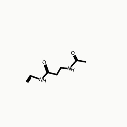 C=CNC(=O)CCNC(C)=O